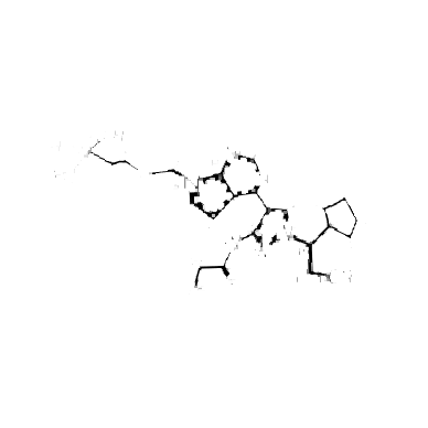 C[Si](C)(C)CCOCn1ccc2c(-c3cn(C(CC#N)C4CCCC4)nc3NC(=O)CCl)ncnc21